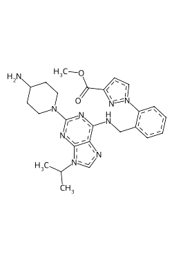 COC(=O)c1ccn(-c2ccccc2CNc2nc(N3CCC(N)CC3)nc3c2ncn3C(C)C)n1